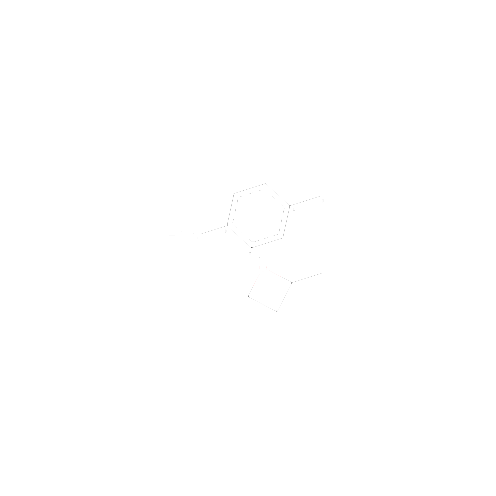 CC1CCO1.Cc1ccc(S(=O)(=O)O)cc1